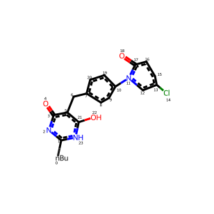 CCCCc1nc(=O)c(Cc2ccc(-n3cc(Cl)ccc3=O)cc2)c(O)[nH]1